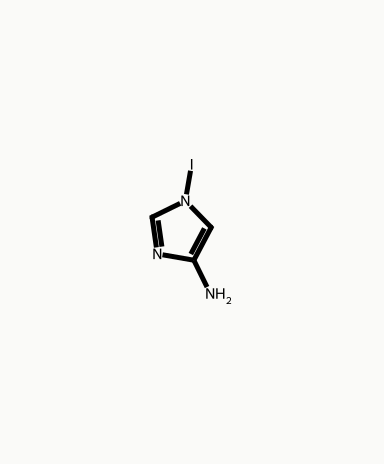 Nc1cn(I)cn1